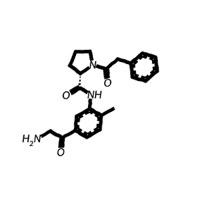 Cc1ccc(C(=O)CN)cc1NC(=O)[C@@H]1CCCN1C(=O)Cc1ccccc1